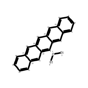 CCOCC.c1ccc2cc3cc4cc5ccccc5cc4cc3cc2c1